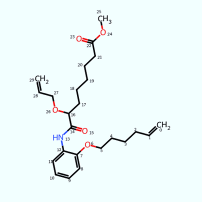 C=CCCCCOc1ccccc1NC(=O)C(CCCCCC(=O)OC)OCC=C